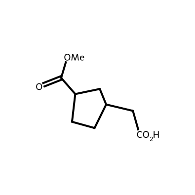 COC(=O)C1CCC(CC(=O)O)C1